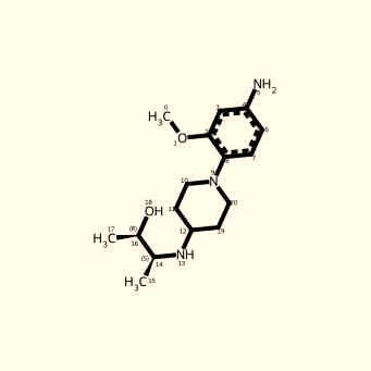 COc1cc(N)ccc1N1CCC(N[C@@H](C)[C@@H](C)O)CC1